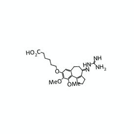 COc1c(OCCCCCC(=O)O)cc2c(c1OC)C1=C(CCC1)C(=NNC(=N)N)CC2